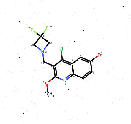 COc1nc2ccc(Br)cc2c(Cl)c1CN1CC(F)(F)C1